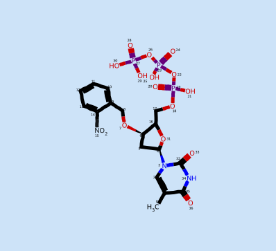 Cc1cn([C@H]2C[C@@H](OCc3ccccc3[N+](=O)[O-])C(COP(=O)(O)OP(=O)(O)OP(=O)(O)O)O2)c(=O)[nH]c1=O